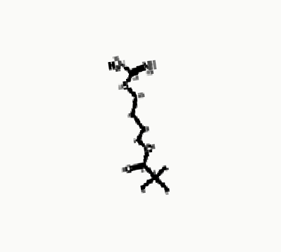 CC(C)(C)C(=O)OCCCCSC(=N)N